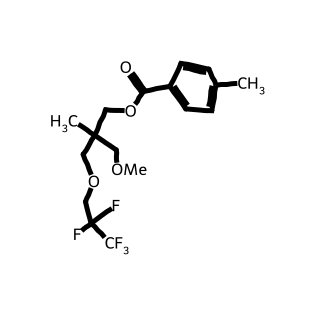 COCC(C)(COCC(F)(F)C(F)(F)F)COC(=O)c1ccc(C)cc1